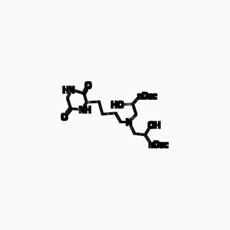 CCCCCCCCCCC(O)CN(CCCCC1NC(=O)CNC1=O)CC(O)CCCCCCCCCC